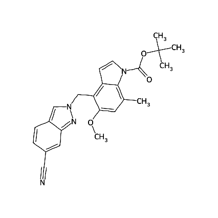 COc1cc(C)c2c(ccn2C(=O)OC(C)(C)C)c1Cn1cc2ccc(C#N)cc2n1